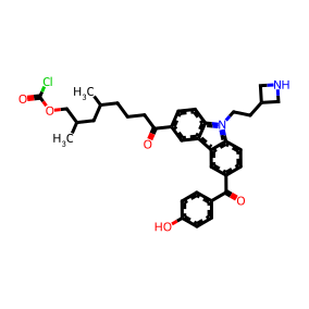 CC(CCCC(=O)c1ccc2c(c1)c1cc(C(=O)c3ccc(O)cc3)ccc1n2CCC1CNC1)CC(C)COC(=O)Cl